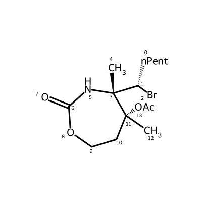 CCCCC[C@H](Br)[C@@]1(C)NC(=O)OCC[C@@]1(C)OC(C)=O